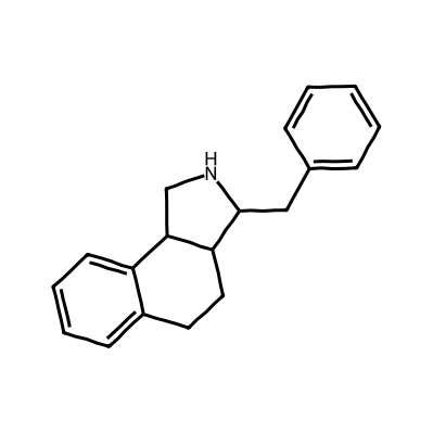 c1ccc(CC2NCC3c4ccccc4CCC23)cc1